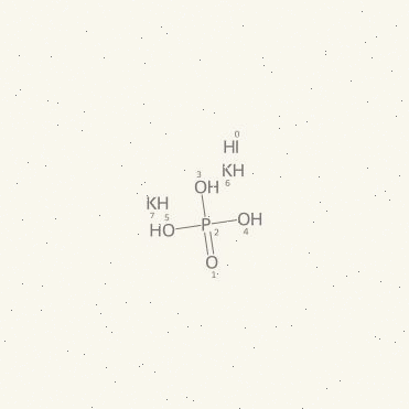 I.O=P(O)(O)O.[KH].[KH]